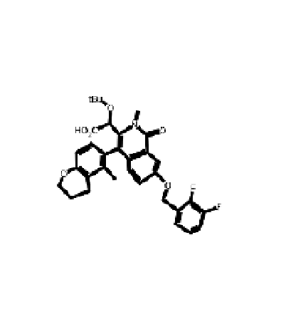 Cc1c(-c2c(C(OC(C)(C)C)C(=O)O)n(C)c(=O)c3cc(OCc4cccc(F)c4F)ccc23)ccc2c1CCCO2